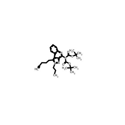 C#CCCCc1c2c(nn1CCC)c(N(C(=O)OC(C)(C)C)C(=O)OC(C)(C)C)nc1ccccc12